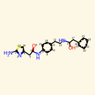 Nc1nc(CC(=O)Nc2ccc(CCNC(O)Cc3ccccc3)cc2)cs1